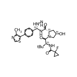 Cc1ncsc1-c1ccc([C@H](NN)NC(=O)[C@@H]2C[C@@H](O)CN2C(=O)[C@@H](NC(=O)C2(F)CC2)C(C)(C)C)cc1